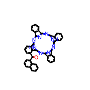 O=C(c1cccc2ccccc12)c1cccc2c3nc4nc(nc5[nH]c(nc6nc(nc([nH]3)c12)-c1ccccc1-6)c1ccccc51)-c1ccccc1-4